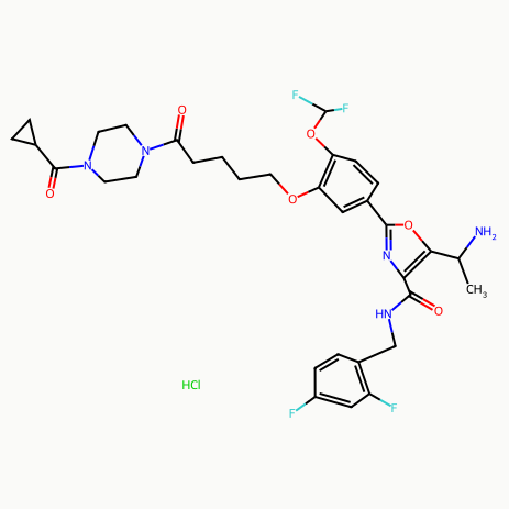 CC(N)c1oc(-c2ccc(OC(F)F)c(OCCCCC(=O)N3CCN(C(=O)C4CC4)CC3)c2)nc1C(=O)NCc1ccc(F)cc1F.Cl